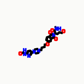 CNC(=O)C(CCC=O)N1C(=O)c2ccc(OCCCCN3CCN(c4ccc(NC=O)nc4)CC3)cc2C1=O